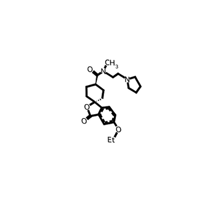 CCOc1ccc2c(c1)C(=O)O[C@]21CC[C@H](C(=O)N(C)CCN2CCCC2)CC1